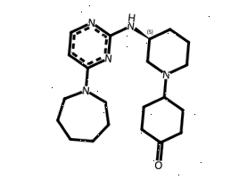 O=C1CCC(N2CCC[C@H](Nc3nccc(N4CCCCCC4)n3)C2)CC1